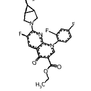 CCOC(=O)c1cn(-c2ccc(F)cc2F)c2nc(N3CC4C(N)C4C3)c(F)cc2c1=O